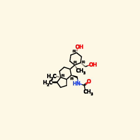 C=C1CCC2[C@H](CNC(C)=O)C([C@@]3(C)CC[C@H](O)C[C@@H]3CO)CC[C@]12C